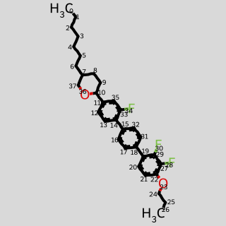 CCCCCCCC1CCC(c2ccc(-c3ccc(-c4ccc(OCCC)c(F)c4F)cc3)c(F)c2)OC1